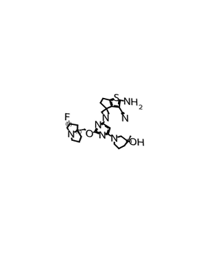 C[C@@]1(O)CCCN(c2cc(N3CC4(CCc5sc(N)c(C#N)c54)C3)nc(OC[C@@]34CCCN3C[C@H](F)C4)n2)C1